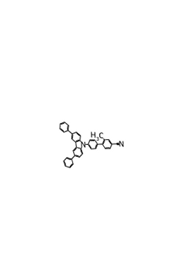 Cc1cc(C#N)ccc1-c1ccc(-n2c3ccc(-c4ccccc4)cc3c3cc(-c4ccccc4)ccc32)cc1